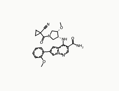 COc1ccccc1-c1cc2c(N[C@@H]3CN(C(=O)C4(C#N)CC4)C[C@@H]3OC)c(C(N)=O)cnn2c1